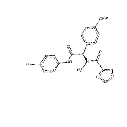 COc1ccc([C@H](C(=O)Nc2ccc(C(C)(C)C)cc2)N(C)C(=O)c2ccco2)cc1